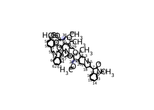 CC[C@H]1CN2CC(C3C(=O)N(C)c4ccccc43)CC2C[C@@H]1/C(=C\OC)C(=O)OCC1[C@H](CC)[C@@H](/C(=C\OC)C(=O)OC)CC2N1CC[C@]21C(=O)N(Cc2ccc(C)cc2)c2ccccc21